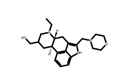 CCN1CC(CO)C[C@@H]2c3cccc4[nH]c(CN5CCOCC5)c(c34)C[C@H]21